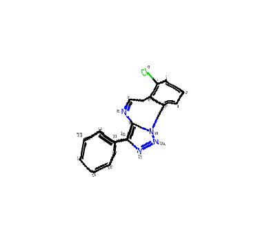 Clc1cccc2c1cnc1c(-c3ccccc3)nnn12